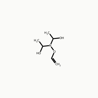 C=CON(C(C)O)C(C)O